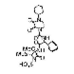 CO[C@@]1(NC(=O)C(NC(=O)N2CCN(C3CCCCC3)C(=O)C2=O)c2ccccc2)C(=O)N(S(=O)(=O)O)[C@@H]1SC